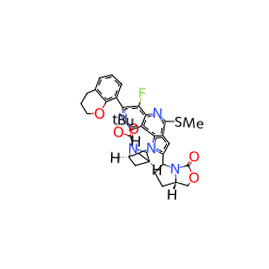 CSc1nc2c(F)c(-c3cccc4c3OCCC4)ncc2c2c1cc(C1CC[C@H]3COC(=O)N13)n2[C@H]1[C@@H]2C[C@H]1N(C(=O)OC(C)(C)C)C2